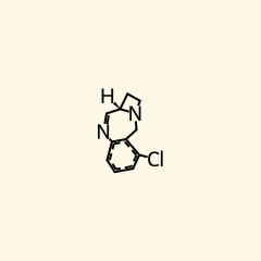 Clc1cccc2c1CN1CC[C@H]1C=N2